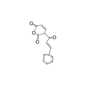 O=C1C=CC(C(=O)C=Cc2ccccc2)C(=O)O1